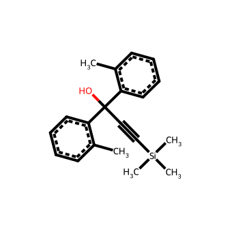 Cc1ccccc1C(O)(C#C[Si](C)(C)C)c1ccccc1C